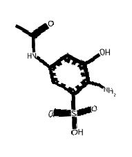 CC(=O)Nc1cc(O)c(N)c(S(=O)(=O)O)c1